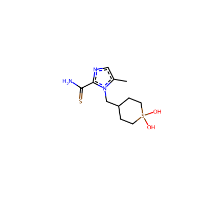 Cc1cnc(C(N)=S)n1CC1CCS(O)(O)CC1